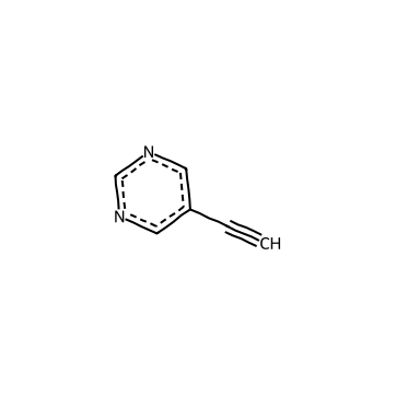 C#Cc1cncnc1